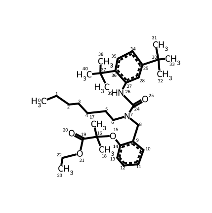 CCCCCCCN(Cc1ccccc1OC(C)(C)C(=O)OCC)C(=O)Nc1cc(C(C)(C)C)ccc1C(C)(C)C